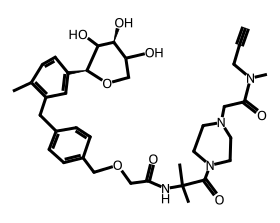 C#CCN(C)C(=O)CN1CCN(C(=O)C(C)(C)NC(=O)COCc2ccc(Cc3cc([C@@H]4OCC(O)[C@H](O)C4O)ccc3C)cc2)CC1